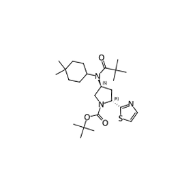 CC1(C)CCC(N(C(=O)C(C)(C)C)[C@H]2C[C@H](c3nccs3)N(C(=O)OC(C)(C)C)C2)CC1